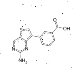 Nc1ncc2scc(-c3cccc(C(=O)O)c3)c2n1